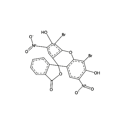 O=C1OC2(c3ccccc31)c1cc([N+](=O)[O-])c(O)c(Br)c1Oc1c2cc([N+](=O)[O-])c(O)c1Br